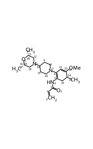 C=CC(=O)NC1=C(N2CCC(N3C[C@@H](C)O[C@@H](C)C3)CC2)C=C(OC)C(C)C1